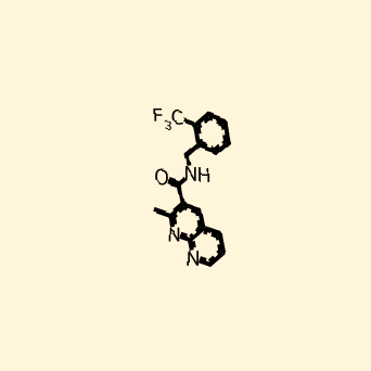 Cc1nc2ncccc2cc1C(=O)NCc1ccccc1C(F)(F)F